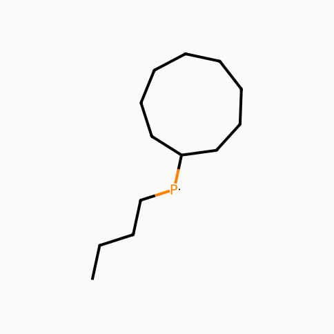 CCCC[P]C1CCCCCCCC1